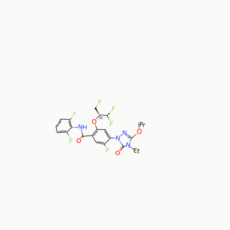 CCn1c(OC(C)C)nn(-c2cc(O[C@@H](CF)C(F)F)c(C(=O)Nc3c(F)cccc3F)cc2F)c1=O